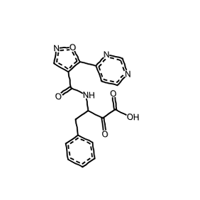 O=C(O)C(=O)C(Cc1ccccc1)NC(=O)c1cnoc1-c1ccncn1